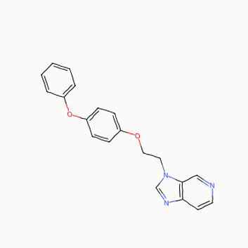 c1ccc(Oc2ccc(OCCn3cnc4ccncc43)cc2)cc1